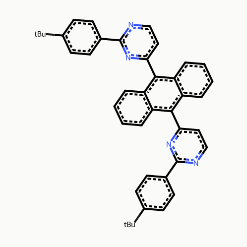 CC(C)(C)c1ccc(-c2nccc(-c3c4ccccc4c(-c4ccnc(-c5ccc(C(C)(C)C)cc5)n4)c4ccccc34)n2)cc1